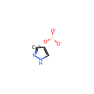 [Cu+3].[O-]B([O-])[O-].c1cn[nH]c1